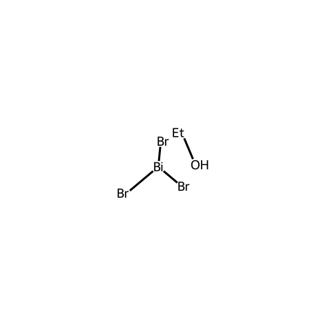 CCO.[Br][Bi]([Br])[Br]